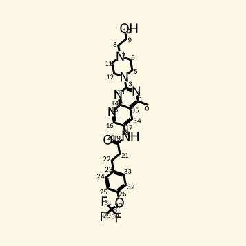 Cc1nc(N2CCN(CCO)CC2)nc2ncc(NC(=O)CCc3ccc(OC(F)(F)F)cc3)cc12